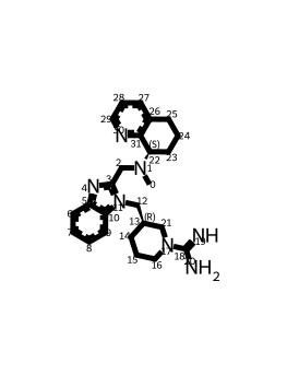 CN(Cc1nc2ccccc2n1C[C@@H]1CCCN(C(=N)N)C1)[C@H]1CCCc2cccnc21